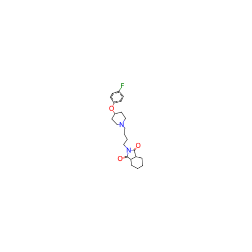 O=C1C2CCCCC2C(=O)N1CCCCN1CCC(Oc2ccc(F)cc2)CC1